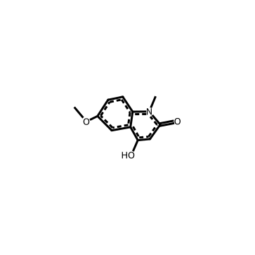 COc1ccc2c(c1)c(O)cc(=O)n2C